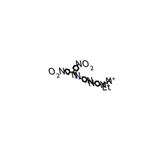 CCN(CC[N+](C)(C)C)c1ccc(N=Nc2ccc(/C=N/N=C(c3ccc([N+](=O)[O-])cc3)c3ccc([N+](=O)[O-])cc3)cc2)cc1